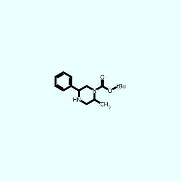 CC1CNC(c2ccccc2)CN1C(=O)OC(C)(C)C